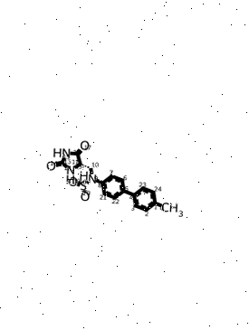 Cc1ccc(-c2ccc(N(C[C@@H]3NC(=O)NC3=O)[SH](=O)=O)cc2)cc1